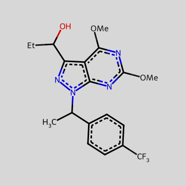 CCC(O)c1nn(C(C)c2ccc(C(F)(F)F)cc2)c2nc(OC)nc(OC)c12